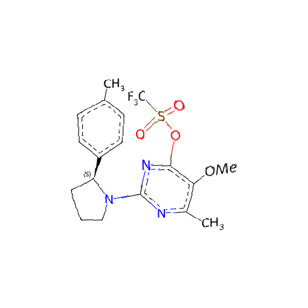 COc1c(C)nc(N2CCC[C@H]2c2ccc(C)cc2)nc1OS(=O)(=O)C(F)(F)F